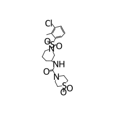 Cc1c(Cl)cccc1S(=O)(=O)N1CCCC(NC(=O)N2CCS(=O)(=O)CC2)C1